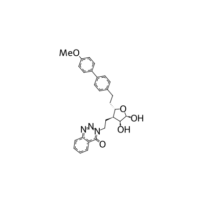 COc1ccc(-c2ccc(CC[C@@H]3O[C@@H](O)[C@@H](O)[C@H]3CCn3nnc4ccccc4c3=O)cc2)cc1